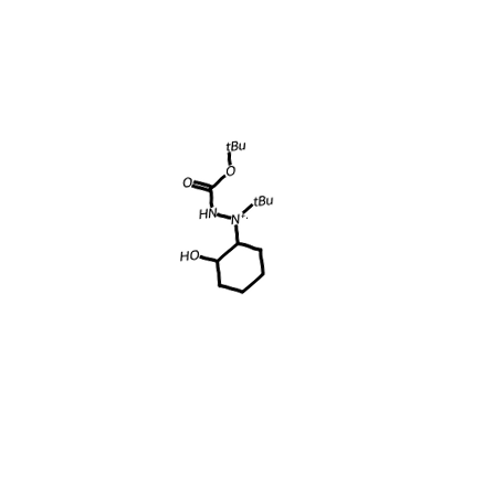 CC(C)(C)OC(=O)N[N+](C1CCCCC1O)C(C)(C)C